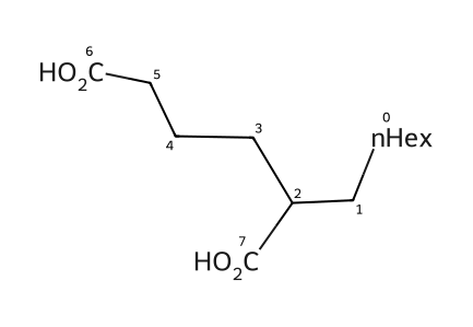 CCCCCCCC(CCCC(=O)O)C(=O)O